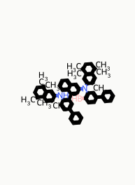 Cc1cc2c(cc1Nc1ccc(-c3ccccc3)cc1-c1c3c(cc4ccccc14)N(c1cc4c(cc1C)C(C)(C)CCC4(C)C)c1cc(-c4ccccc4)ccc1B3)C(C)(C)CCC2(C)C